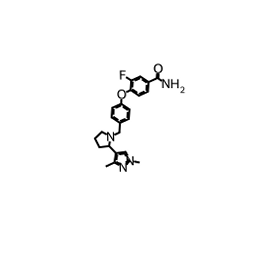 Cc1nn(C)cc1C1CCCN1Cc1ccc(Oc2ccc(C(N)=O)cc2F)cc1